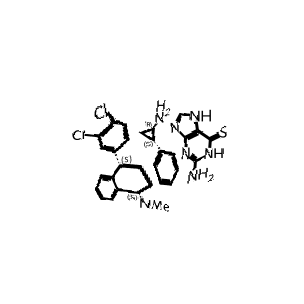 CN[C@H]1CC[C@@H](c2ccc(Cl)c(Cl)c2)c2ccccc21.N[C@@H]1C[C@H]1c1ccccc1.Nc1nc2nc[nH]c2c(=S)[nH]1